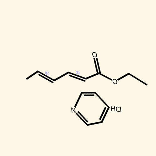 C/C=C/C=C/C(=O)OCC.Cl.c1ccncc1